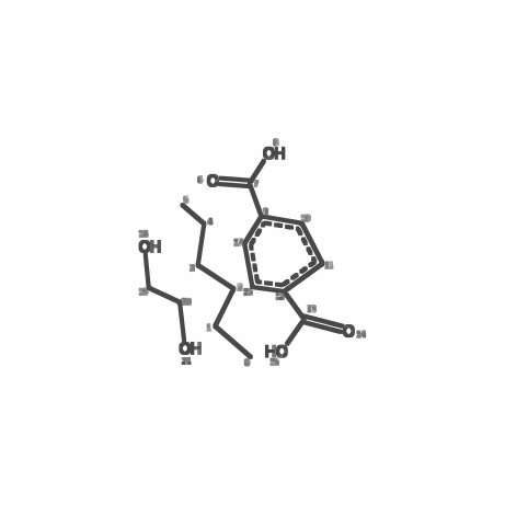 CCCCCC.O=C(O)c1ccc(C(=O)O)cc1.OCCO